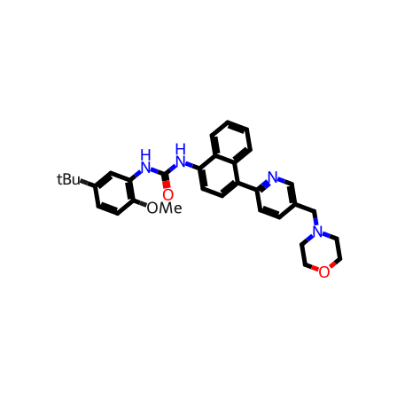 COc1ccc(C(C)(C)C)cc1NC(=O)Nc1ccc(-c2ccc(CN3CCOCC3)cn2)c2ccccc12